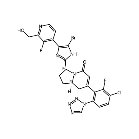 O=C1C=C(c2c(-n3cnnn3)ccc(Cl)c2F)C[C@H]2CC[C@@H](c3nc(-c4ccnc(CO)c4F)c(Br)[nH]3)N12